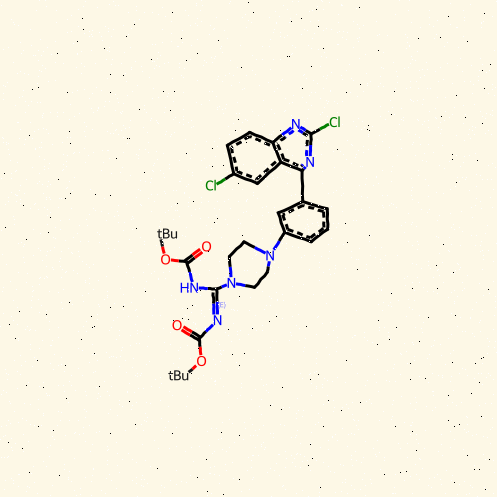 CC(C)(C)OC(=O)/N=C(\NC(=O)OC(C)(C)C)N1CCN(c2cccc(-c3nc(Cl)nc4ccc(Cl)cc34)c2)CC1